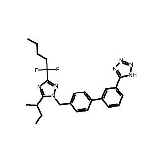 CCCCC(F)(F)c1nc(C(C)CC)n(Cc2ccc(-c3cccc(-c4nnn[nH]4)c3)cc2)n1